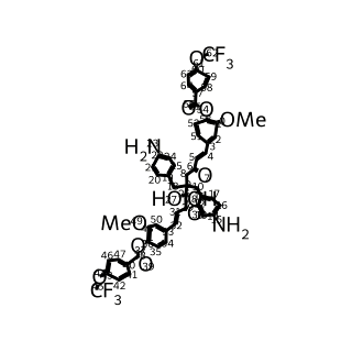 COc1cc(/C=C/C(=O)CC(Cc2ccc(N)cc2)(Cc2ccc(N)cc2)C(O)(O)C(=O)/C=C/c2ccc(OC(=O)c3ccc(OC(F)(F)F)cc3)c(OC)c2)ccc1OC(=O)c1ccc(OC(F)(F)F)cc1